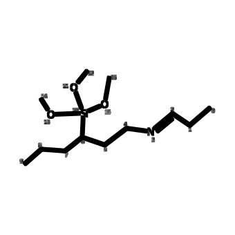 CCC=NCCC(CCC)[Si](OC)(OC)OC